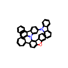 C1=CC=C(c2ccc3oc4ccccc4c3c2-n2c3ccccc3c3ccc(-n4c5ccccc5c5ccccc54)cc32)C=C(c2ccccc2)C=1